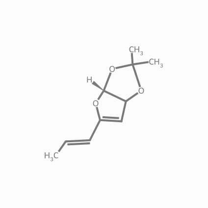 C/C=C/C1=CC2OC(C)(C)O[C@H]2O1